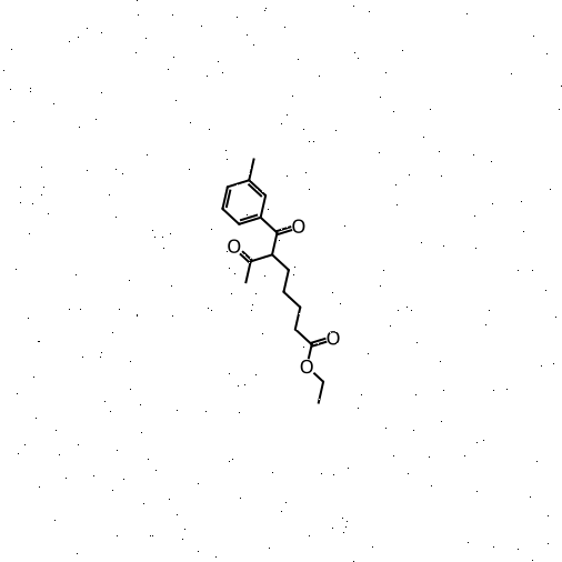 CCOC(=O)CCCCC(C(C)=O)C(=O)c1cccc(C)c1